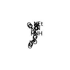 CCn1ncc2c(NC3CCOCC3)c(C(=O)NC3CCN(C(=O)CN4CCOCC4)CC3)cnc21